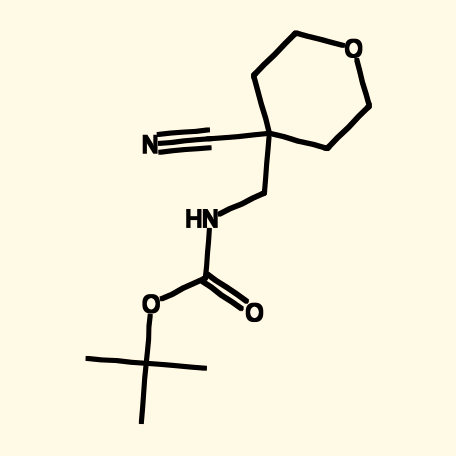 CC(C)(C)OC(=O)NCC1(C#N)CCOCC1